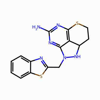 Nc1nc2c3c(n1)N(Cc1nc4ccccc4s1)NC3CCS2